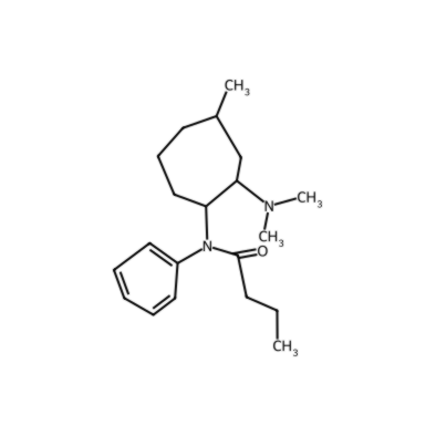 CCCC(=O)N(c1ccccc1)C1CCCC(C)CC1N(C)C